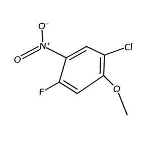 COc1cc(F)c([N+](=O)[O-])cc1Cl